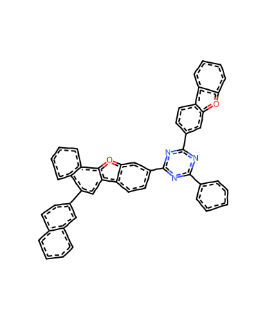 c1ccc(-c2nc(-c3ccc4c(c3)oc3ccccc34)nc(-c3ccc4c(c3)oc3c5ccccc5c(-c5ccc6ccccc6c5)cc43)n2)cc1